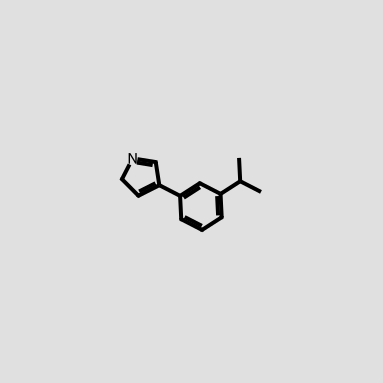 CC(C)c1cccc(C2=CCN=C2)c1